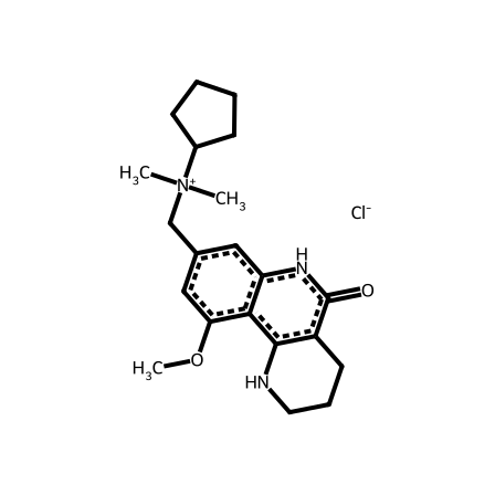 COc1cc(C[N+](C)(C)C2CCCC2)cc2[nH]c(=O)c3c(c12)NCCC3.[Cl-]